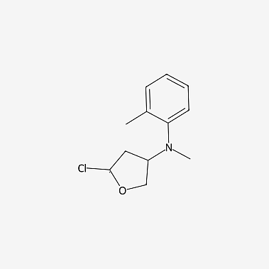 Cc1ccccc1N(C)C1CO[C](Cl)C1